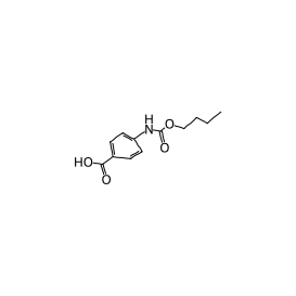 CCCCOC(=O)Nc1ccc(C(=O)O)cc1